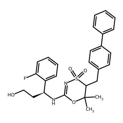 CC1(C)OC(N[C@@H](CCO)c2ccccc2F)=NS(=O)(=O)C1Cc1ccc(-c2ccccc2)cc1